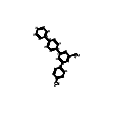 CC(C)(C)c1cc(-c2ccc(C#N)cc2)cc(-c2ccc(-c3ccccc3)cc2)c1